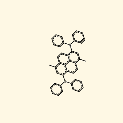 Cc1cc(N(c2c#cccc2)c2ccccc2)c2ccc3c(C)cc(N(c4ccccc4)c4ccccc4)c4ccc1c2c34